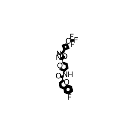 O=C(N[C@@H]1CC[C@@H](c2nnc(C3CC(OC(F)(F)F)C3)o2)OC1)[C@@H]1CCc2cc(F)ccc2O1